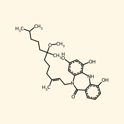 COC(C)(CCC/C(C)=C/CN1C(=O)c2cccc(O)c2Nc2c(O)cc(O)cc21)CCCC(C)C